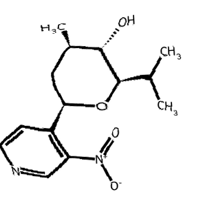 CC(C)[C@H]1O[C@@H](c2ccncc2[N+](=O)[O-])C[C@@H](C)[C@@H]1O